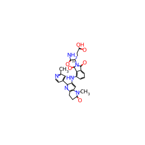 Cc1cc(-c2nc3c(cc2Nc2cccc4c2C(=O)N([C@@H](CCC(=O)O)C(N)=O)C4=O)N(C)C(=O)CC3)ccn1